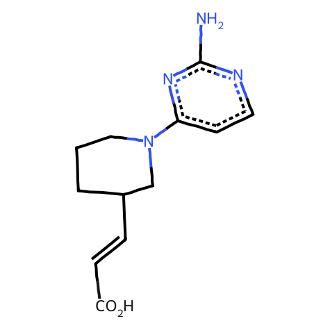 Nc1nccc(N2CCCC(/C=C/C(=O)O)C2)n1